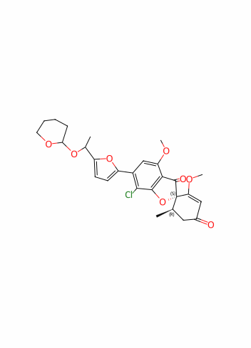 COC1=CC(=O)C[C@@H](C)[C@]12Oc1c(Cl)c(-c3ccc(C(C)OC4CCCCO4)o3)cc(OC)c1C2=O